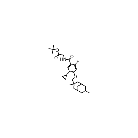 CC1CC2CC(C1)CC(C)(COc1cc(F)c(C(=O)NCC(=O)OC(C)(C)C)cc1C1CC1)C2